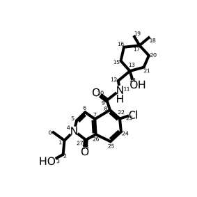 CC(CO)n1ccc2c(C(=O)NCC3(O)CCC(C)(C)CC3)c(Cl)ccc2c1=O